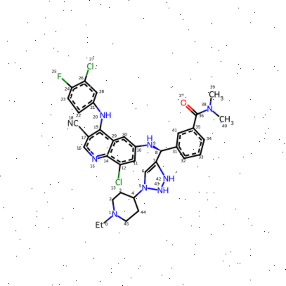 CCN1CCC(N2C=C([C@@H](Nc3cc(Cl)c4ncc(C#N)c(Nc5ccc(F)c(Cl)c5)c4c3)c3cccc(C(=O)N(C)C)c3)NN2)CC1